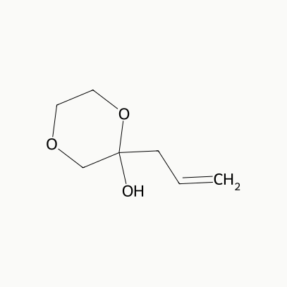 C=CCC1(O)COCCO1